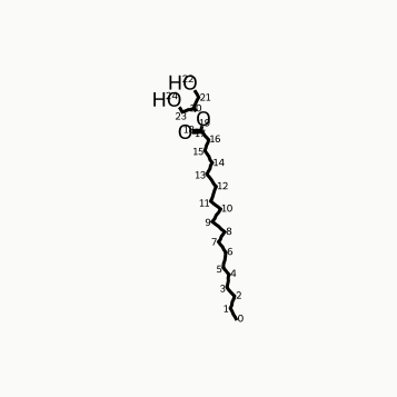 CCCCCCCCCCCCCCCCCC(=O)OC(CO)CO